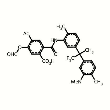 CNc1cc(C(C)(c2ccc(C)c(NC(=O)c3cc(C(C)=O)c(OC=O)cc3C(=O)O)c2)C(F)(F)F)ccc1C